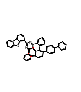 c1ccc(-c2ccc(-c3ccc4ccccc4c3-c3ccccc3-c3nc(-c4ccccc4)nc(-c4cccc5c4sc4ccccc45)n3)cc2)cc1